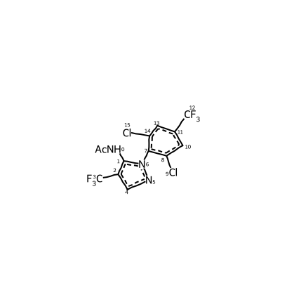 CC(=O)Nc1c(C(F)(F)F)cnn1-c1c(Cl)cc(C(F)(F)F)cc1Cl